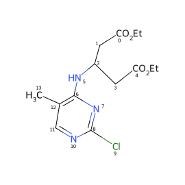 CCOC(=O)CC(CC(=O)OCC)Nc1nc(Cl)ncc1C